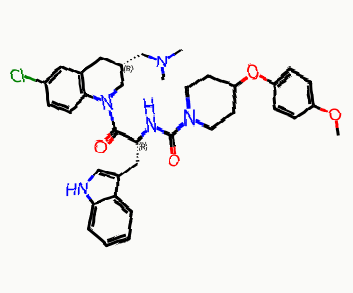 COc1ccc(OC2CCN(C(=O)N[C@H](Cc3c[nH]c4ccccc34)C(=O)N3C[C@@H](CN(C)C)Cc4cc(Cl)ccc43)CC2)cc1